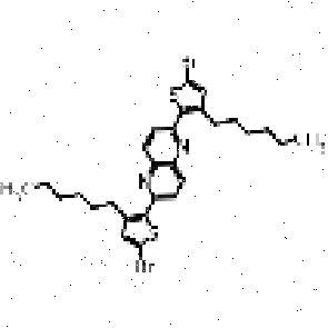 CCCCCCc1cc(Br)sc1-c1ccc2nc(-c3sc(Br)cc3CCCCCC)ccc2n1